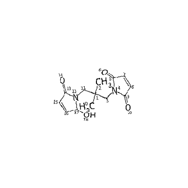 CC(C)(CN1C(=O)C=CC1=O)CN1C(=O)C=CC1O